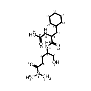 CN(C)C(=O)CCC(CO)NC(=O)C(CC1CCCCC1)NC(=O)O